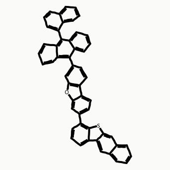 c1ccc2cc3c(cc2c1)sc1c(-c2ccc4c(c2)oc2cc(-c5c6ccccc6c(-c6cccc7ccccc67)c6ccccc56)ccc24)cccc13